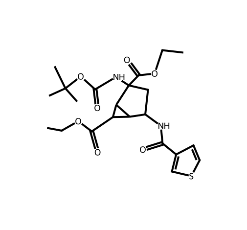 CCOC(=O)C1C2C(NC(=O)c3ccsc3)CC(NC(=O)OC(C)(C)C)(C(=O)OCC)C12